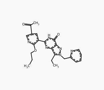 CCCOc1ncc(C(C)=O)cc1-c1nc2c(CC)n(Cc3ccccn3)nc2c(=O)[nH]1